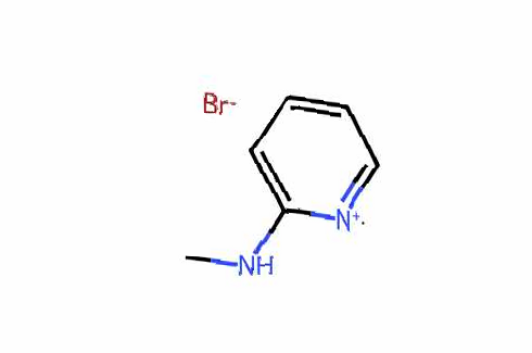 CNC1=CC=CC=[N+]1.[Br-]